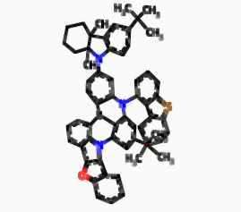 CC(C)(C)c1cc2c3c(c1)-n1c4c(cccc4c4oc5ccccc5c41)B3c1ccc(N3c4ccc(C(C)(C)C)cc4C4(C)CCCCC34C)cc1N2c1cccc2sc3ccccc3c12